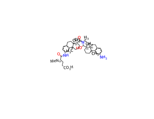 CN[C@@H](CCC(=O)O)C(=O)Nc1ccc2c(c1)[C@@]1(C)CCC[C@](C)(C(=O)N(C)C(O)[C@@]3(C)CCC[C@]4(C)c5cc(N)ccc5CC[C@H]43)[C@]1(C)CC2